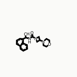 CC(NC(=O)N1CC(N2CCOCC2)C1)c1cccc2ccccc12